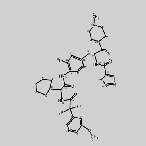 COc1cncc(C(F)(F)C(=O)N[C@H](C(=O)Nc2ccc(C[C@@H](NC(=O)c3cnns3)C(=O)N3CCN(C)CC3)cc2F)C2CCCCC2)c1